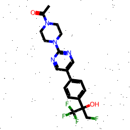 CC(=O)N1CCN(c2ncc(-c3ccc(C(O)(CF)C(F)(F)F)cc3)cn2)CC1